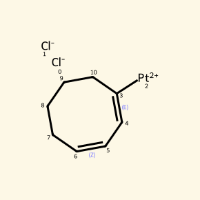 [Cl-].[Cl-].[Pt+2]/[C]1=C/C=C\CCCC1